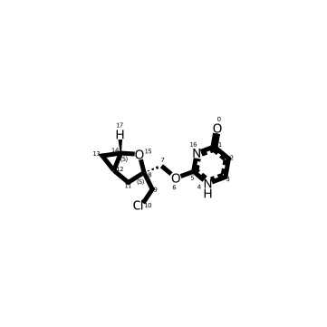 O=c1cc[nH]c(OC[C@]2(CCl)CC3C[C@@H]3O2)n1